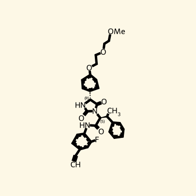 C#Cc1ccc(NC(=O)[C@H](C(C)c2ccccc2)N2C(=O)N[C@H](c3ccc(OCCOCCOC)cc3)C2=O)c(F)c1